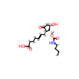 CCCCNC(=O)OC[C@H]1[C@H](O)CC(=O)[C@@H]1CC=CCCCC(=O)O